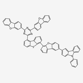 c1ccc(-n2c3ccccc3c3cc(-c4ccc5oc6c(-c7cccc8c7sc7cccc(-c9nc(-c%10ccc%11c(c%10)oc%10ccccc%10%11)nc(-c%10ccc%11c(c%10)oc%10ccccc%10%11)n9)c78)cccc6c5c4)ccc32)cc1